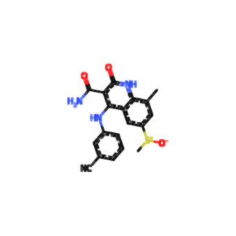 Cc1cc([S+](C)[O-])cc2c(Nc3cccc(C#N)c3)c(C(N)=O)c(=O)[nH]c12